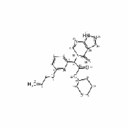 C=CCOc1cccc(C(C(=O)OC2CCCCC2)n2cnc3[nH]ncc3c2=S)c1